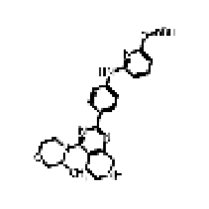 CCCCOc1cccc(Nc2ccc(-c3nc4c(c(N5CCOC[C@@H]5C)n3)CCNC4)cc2)n1